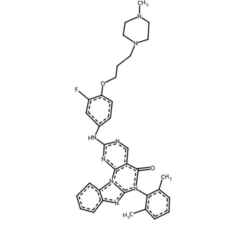 Cc1cccc(C)c1-n1c(=O)c2cnc(Nc3ccc(OCCCN4CCN(C)CC4)c(F)c3)nc2n2c3ccccc3nc12